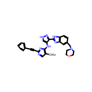 COc1cnc(C#Cc2ccccc2)nc1Nc1c[nH]nc1-c1nc2cc(CN3CCOCC3)ccc2[nH]1